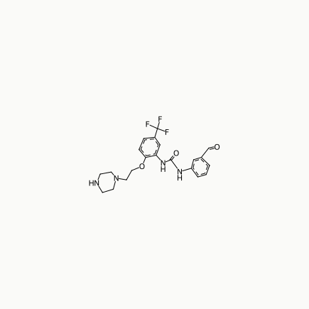 O=Cc1cccc(NC(=O)Nc2cc(C(F)(F)F)ccc2OCCN2CCNCC2)c1